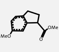 COC(=O)C1CCc2ccc(OC)cc21